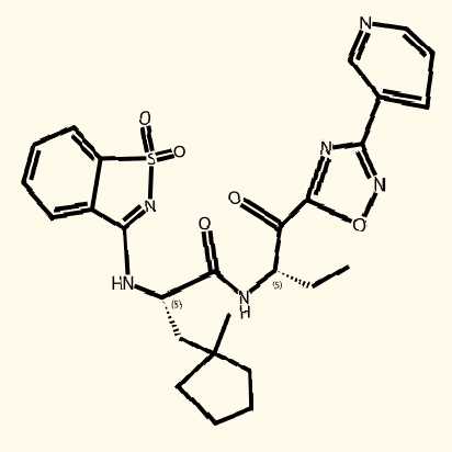 CC[C@H](NC(=O)[C@H](CC1(C)CCCC1)NC1=NS(=O)(=O)c2ccccc21)C(=O)c1nc(-c2cccnc2)no1